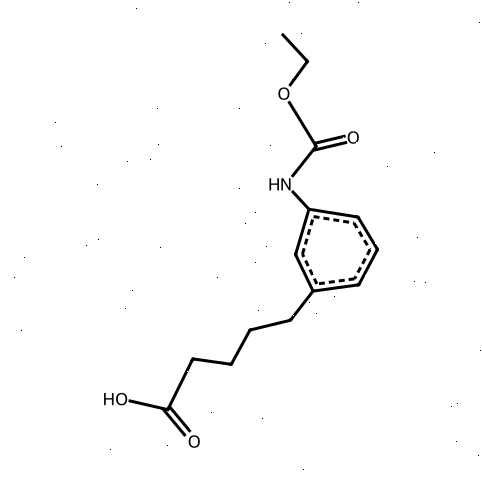 CCOC(=O)Nc1cccc(CCCCC(=O)O)c1